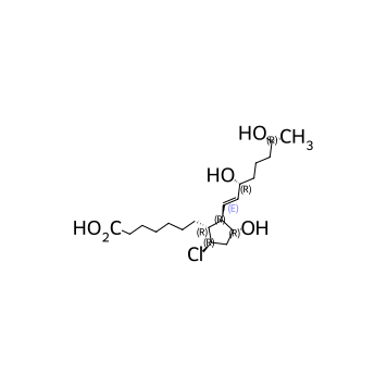 C[C@@H](O)CCC[C@@H](O)/C=C/[C@@H]1[C@@H](CCCCCCC(=O)O)[C@H](Cl)C[C@H]1O